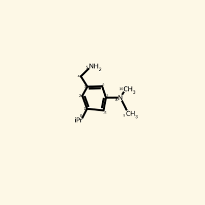 CC(C)c1cc(CN)cc(N(C)C)c1